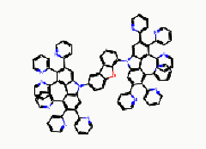 c1ccc(-c2cc3c(c(-c4ccccn4)c2-c2ccccn2)c2c(-c4ccccn4)c(-c4ccccn4)c(-c4ccccn4)cc2n3-c2ccc3oc4c(-n5c6cc(-c7ccccn7)c(-c7ccccn7)c(-c7ccccn7)c6c6c(-c7ccccn7)c(-c7ccccn7)c(-c7ccccn7)cc65)cccc4c3c2)nc1